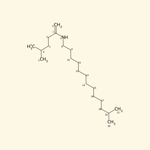 C=C(CCC(C)C)NCCCCCCCCCCCC(C)C